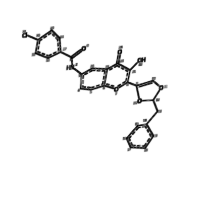 O=C(Nc1ccc2oc(C3=COC(Cc4ccccc4)O3)c(O)c(=O)c2c1)c1ccc(Cl)cc1